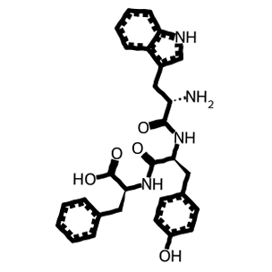 N[C@@H](Cc1c[nH]c2ccccc12)C(=O)N[C@@H](Cc1ccc(O)cc1)C(=O)N[C@@H](Cc1ccccc1)C(=O)O